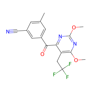 COc1nc(OC)c(CC(F)(F)F)c(C(=O)c2cc(C)cc(C#N)c2)n1